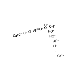 [Al+3].[Al+3].[Ca+2].[Ca+2].[Cl-].[Cl-].[Cl-].[Cl-].[Cl-].[OH-].[OH-].[OH-].[OH-].[OH-]